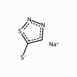 [Na+].[S-]c1cnns1